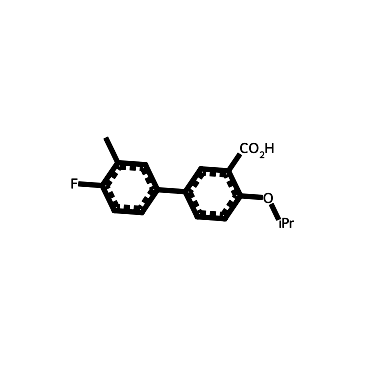 Cc1cc(-c2ccc(OC(C)C)c(C(=O)O)c2)ccc1F